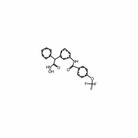 O=C(Nc1cccc(C(C(=O)NO)c2ccccc2)c1)c1ccc(OC(F)(F)F)cc1